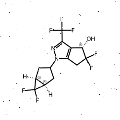 O[C@H]1c2c(C(F)(F)F)nn(C3C[C@@H]4[C@H](C3)C4(F)F)c2CC1(F)F